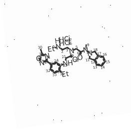 CCNCCN(CC(=O)N(C)N1Cc2ccccc2C1)C(=O)CNc1cc(-c2noc(C)n2)ccc1CC.Cl.Cl